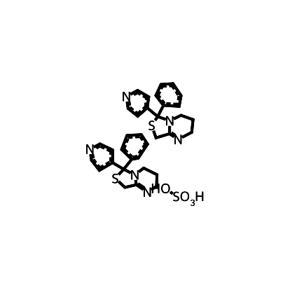 O=S(=O)(O)O.c1ccc(C2(c3ccncc3)SCC3=NCCCN32)cc1.c1ccc(C2(c3ccncc3)SCC3=NCCCN32)cc1